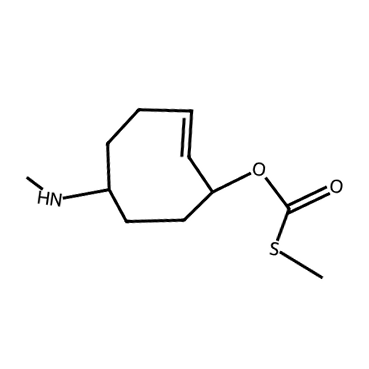 CNC1CC/C=C/C(OC(=O)SC)CC1